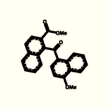 COC(=O)c1ccc2ccccc2c1C(=O)c1ccc(OC)c2ccccc12